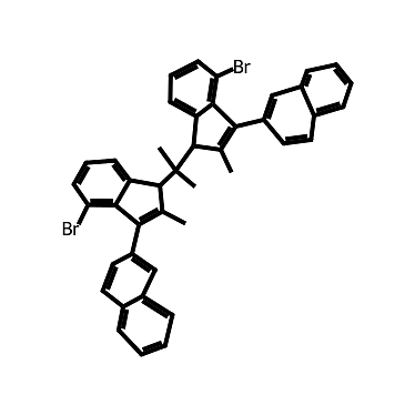 CC1=C(c2ccc3ccccc3c2)c2c(Br)cccc2C1C(C)(C)C1C(C)=C(c2ccc3ccccc3c2)c2c(Br)cccc21